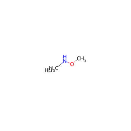 CNOC.[LiH]